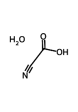 N#CC(=O)O.O